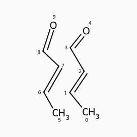 C/C=C/C=O.C/C=C/C=O